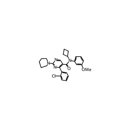 COc1cccc(N(C(=O)c2cnc(N3CCCCC3)nc2-c2ccccc2Cl)C2CCC2)c1